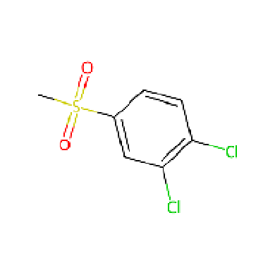 CS(=O)(=O)c1ccc(Cl)c(Cl)c1